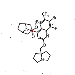 CC(C)(C)OC(=O)N1C2CCC1CN(c1nc(OCC34CCCN3CCC4)nc3c(F)c(Br)c(C(F)(F)F)cc13)C2